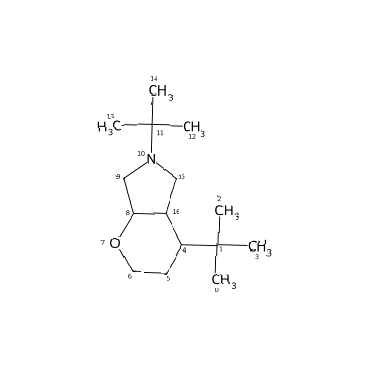 CC(C)(C)C1CCOC2CN(C(C)(C)C)CC21